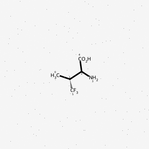 C[C@H](C(N)C(=O)O)C(F)(F)F